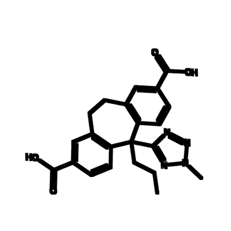 CCCC1(c2nnn(C)n2)c2ccc(C(=O)O)cc2CCc2cc(C(=O)O)ccc21